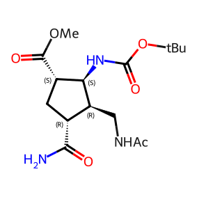 COC(=O)[C@H]1C[C@@H](C(N)=O)[C@H](CNC(C)=O)[C@@H]1NC(=O)OC(C)(C)C